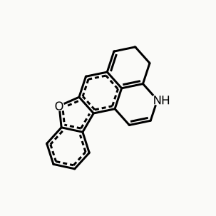 C1=Cc2c3c(cc4oc5ccccc5c24)=CCCC=3N1